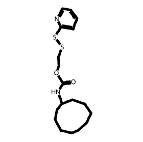 O=C(NC1CCCCCCCCC1)OCCSSc1ccccn1